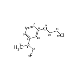 C[C](CF)c1cccc(OCCCl)c1